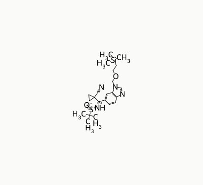 CC(C)(C)[S@@+]([O-])N[C@@H](c1ccc2ncn(COCC[Si](C)(C)C)c2c1)C1(C#N)CC1